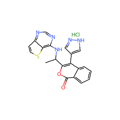 CC(Nc1ncnc2ccsc12)c1oc(=O)c2ccccc2c1-c1cn[nH]c1.Cl